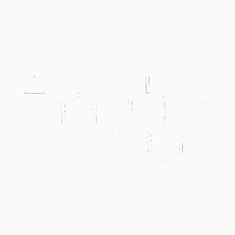 CC[C@@H](C(=O)NCc1cc(C2CC2)ccc1F)c1cccc(Br)c1